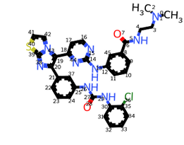 CN(C)CCNC(=O)c1cccc(Nc2nccc(-c3c(-c4cccc(NC(=O)Nc5ccccc5Cl)c4)nc4sccn34)n2)c1